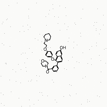 O=C(c1cccc(-c2ccc3cc(O)ccc3c2Oc2ccc(OCCN3CCCCC3)cc2)c1)N1CCOCC1